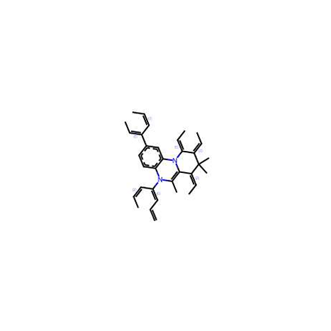 C=C/C=C(\C=C/C)N1C(C)=C2/C(=C\C)C(C)(C)C(=C/C)/C(=C\C)N2c2cc(C(/C=C\C)=C/C)ccc21